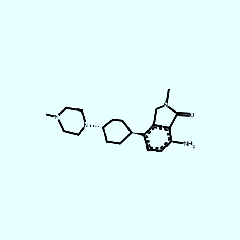 CN1CCN([C@H]2CC[C@H](c3ccc(N)c4c3CN(C)C4=O)CC2)CC1